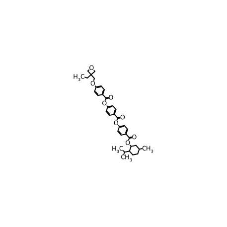 CCC1(COc2ccc(C(=O)Oc3ccc(C(=O)Oc4ccc(C(=O)OC5CC(C)CCC5C(C)C)cc4)cc3)cc2)COC1